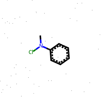 CN(Cl)c1ccccc1